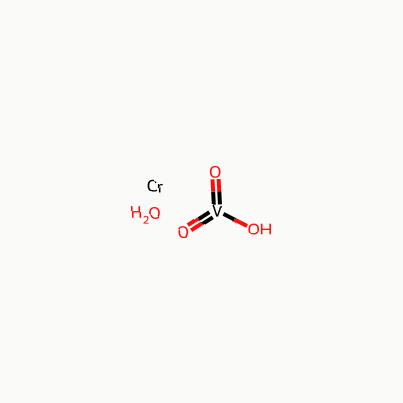 O.[Cr].[O]=[V](=[O])[OH]